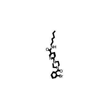 CCCCCCNC(=O)c1ccc(N2CCN(C(=O)c3ccccc3Br)CC2)nc1